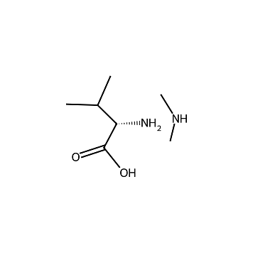 CC(C)[C@H](N)C(=O)O.CNC